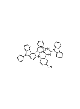 N#Cc1ccc(-n2c3ccccc3c3c4c5ccccc5n(-c5ccccc5)c4ccc32)c(-c2nc(-c3ccccc3)nc(-n3c4ccccc4c4ccccc43)n2)c1